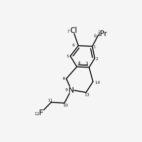 CC(C)c1cc2c(cc1Cl)CN(CCF)CC2